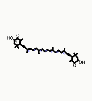 CC1=C(C#C/C(C)=C/C=C/C(C)=C/C=C/C=C(C)/C=C/C=C(\C)C#CC2=C(C)C(=O)[C@@H](O)CC2(C)C)C(C)(C)C[C@H](O)C1=O